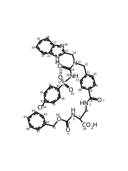 O=C(N[C@@H](CNC(=O)c1ccc(CN(Cc2nc3ccccc3[nH]2)C(=O)NS(=O)(=O)c2ccc(Cl)cc2)cc1)C(=O)O)OCc1ccccc1